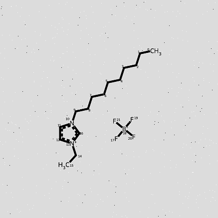 CCCCCCCCCCn1cc[n+](CC)c1.F[B-](F)(F)F